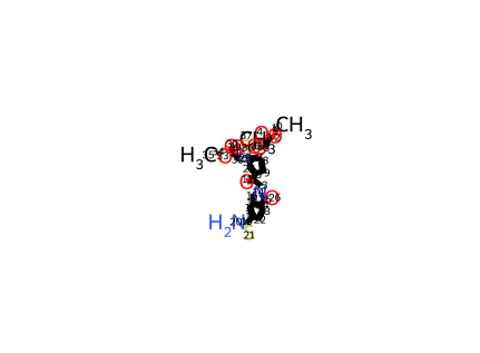 CCOC(=O)COc1ccc(C(=O)CN2Cc3cc(C(N)=S)ccc3C2=O)cc1N(CC(=O)OCC)S(C)(=O)=O